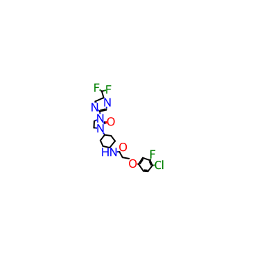 O=C(CCOc1ccc(Cl)c(F)c1)NC1CCC(N2CCN(c3cnc(C(F)F)cn3)C2=O)CC1